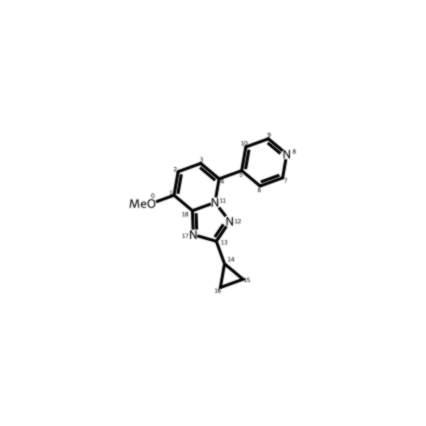 COc1ccc(-c2ccncc2)n2nc(C3CC3)nc12